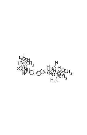 CC[C@H](C)[C@H](NC(=O)OC)C(=O)N1CC(C#N)C[C@H]1c1ncc(-c2ccc3cc(-c4ccc(-c5cnc([C@@H]6CC7(CC7)CN6C(=O)[C@@H](NC(=O)OC)C(C)C)[nH]5)cc4)ccc3c2)[nH]1